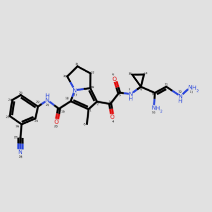 Cc1c(C(=O)C(=O)NC2(/C(N)=C/NN)CC2)c2n(c1C(=O)Nc1cccc(C#N)c1)CCC2